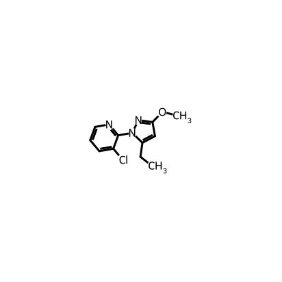 CCc1cc(OC)nn1-c1ncccc1Cl